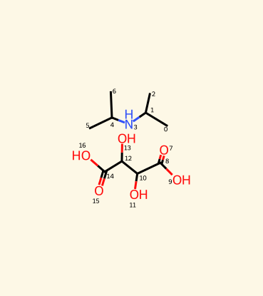 CC(C)NC(C)C.O=C(O)C(O)C(O)C(=O)O